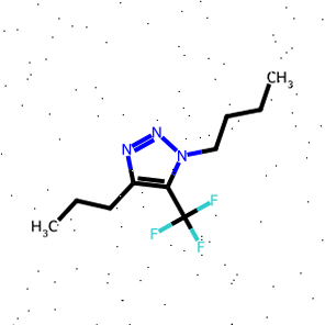 CCCCn1nnc(CCC)c1C(F)(F)F